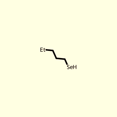 CCCCC[SeH]